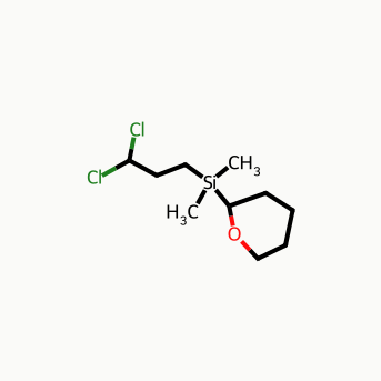 C[Si](C)(CCC(Cl)Cl)C1CCCCO1